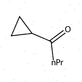 [CH2]CCC(=O)C1CC1